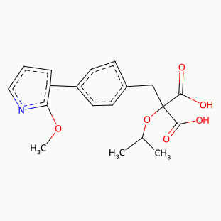 COc1ncccc1-c1ccc(CC(OC(C)C)(C(=O)O)C(=O)O)cc1